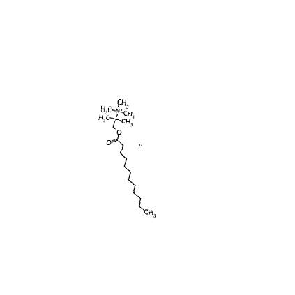 CCCCCCCCCCCC(=O)OCC(C)(C)[N+](C)(C)C.[I-]